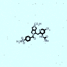 CC(C)(C)C(=O)Nc1cc(C(F)(F)F)cnc1[CH]C1C2=C(CN(C(=O)O)C2)CN1C(=O)c1ccc(S(N)(=O)=O)cc1